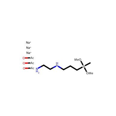 CC(=O)[O-].CC(=O)[O-].CC(=O)[O-].CO[Si](C)(CCCNCCN)OC.[Na+].[Na+].[Na+]